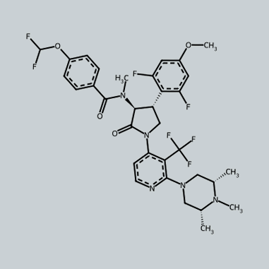 COc1cc(F)c([C@@H]2CN(c3ccnc(N4C[C@@H](C)N(C)[C@@H](C)C4)c3C(F)(F)F)C(=O)[C@H]2N(C)C(=O)c2ccc(OC(F)F)cc2)c(F)c1